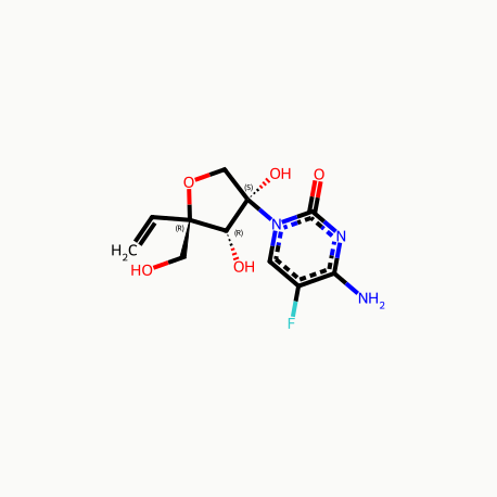 C=C[C@]1(CO)OC[C@@](O)(n2cc(F)c(N)nc2=O)[C@@H]1O